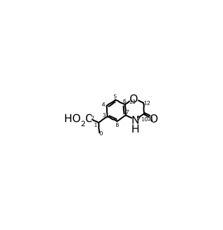 CC(C(=O)O)c1ccc2c(c1)NC(=O)CO2